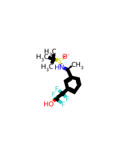 C[C@H](N[S@@+]([O-])C(C)(C)C)c1cccc(C(F)(F)C(O)(F)F)c1